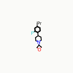 CC(C)c1ccc(C2CCN(C3COC3)CC2)c(F)c1